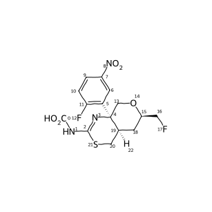 O=C(O)NC1=N[C@@]2(c3cc([N+](=O)[O-])ccc3F)CO[C@@H](CF)C[C@H]2CS1